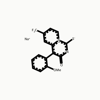 COc1ccccc1-c1c(=O)nc([S-])n2ccc(C(F)(F)F)cc12.[Na+]